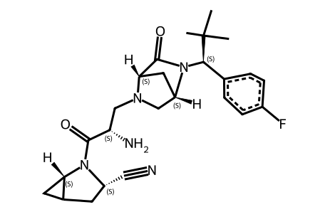 CC(C)(C)[C@@H](c1ccc(F)cc1)N1C(=O)[C@@H]2C[C@H]1CN2C[C@H](N)C(=O)N1[C@H](C#N)CC2C[C@@H]21